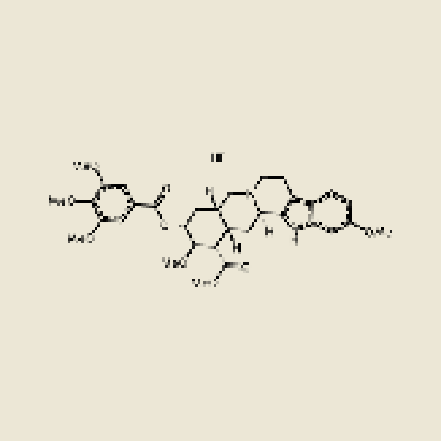 COC(=O)[C@H]1[C@H]2C[C@@H]3c4[nH]c5cc(OC)ccc5c4CCN3C[C@H]2C[C@@H](OC(=O)c2cc(OC)c(OC)c(OC)c2)[C@@H]1OC.F